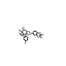 [2H]C1([2H])Oc2ccc(OC[C@@H]3CNC([2H])([2H])C([2H])([2H])C3([2H])c3ccc(F)cc3)cc2O1